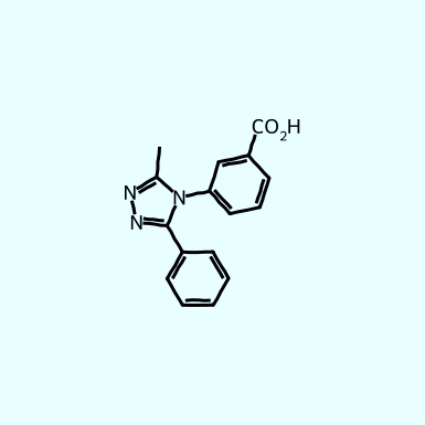 Cc1nnc(-c2ccccc2)n1-c1cccc(C(=O)O)c1